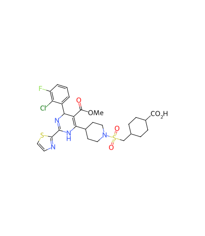 COC(=O)C1=C(C2CCN(S(=O)(=O)CC3CCC(C(=O)O)CC3)CC2)NC(c2nccs2)=NC1c1cccc(F)c1Cl